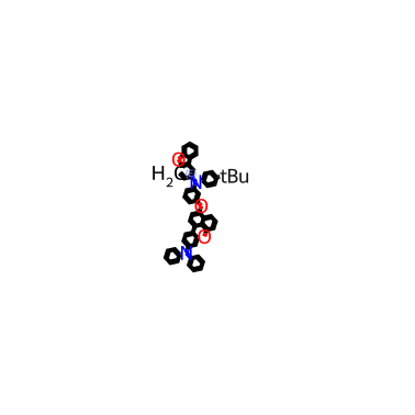 C=C/C(=C\c1coc2ccccc12)N(c1ccc(C(C)(C)C)cc1)c1cccc(Oc2ccc3c4c(cccc24)Oc2cc(N(c4ccccc4)c4ccccc4)ccc2-3)c1